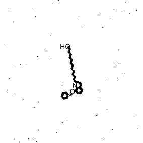 OCCCCCCCCCCCCc1ccc2cccc(OCc3ccccc3)c2n1